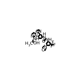 C[C@H](O)CNc1nccc(-n2ccnc2-c2cccc(NC(=O)Nc3cc(N4CCOCC4)cc(C(F)(F)F)c3)c2)n1